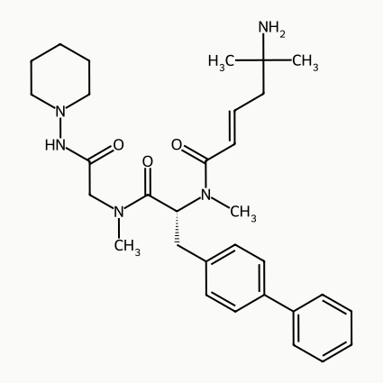 CN(CC(=O)NN1CCCCC1)C(=O)[C@@H](Cc1ccc(-c2ccccc2)cc1)N(C)C(=O)/C=C/CC(C)(C)N